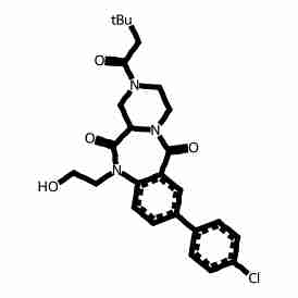 CC(C)(C)CC(=O)N1CCN2C(=O)c3cc(-c4ccc(Cl)cc4)ccc3N(CCO)C(=O)C2C1